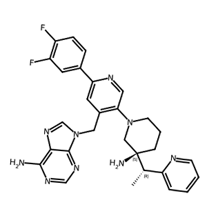 C[C@@H](c1ccccn1)[C@@]1(N)CCCN(c2cnc(-c3ccc(F)c(F)c3)cc2Cn2cnc3c(N)ncnc32)C1